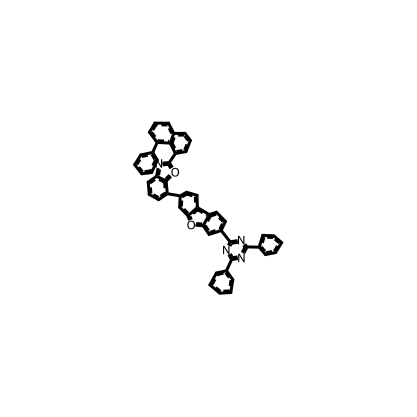 c1ccc(-c2nc(-c3ccccc3)nc(-c3ccc4c(c3)oc3cc(-c5cccc6nc(-c7cccc8cccc(-c9ccccc9)c78)oc56)ccc34)n2)cc1